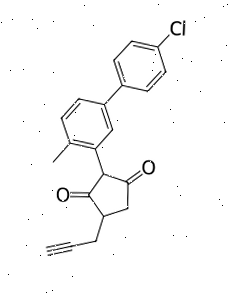 C#CCC1CC(=O)C(c2cc(-c3ccc(Cl)cc3)ccc2C)C1=O